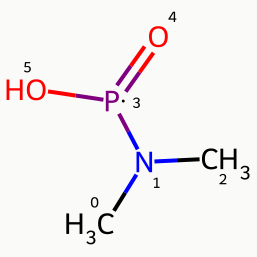 CN(C)[P](=O)O